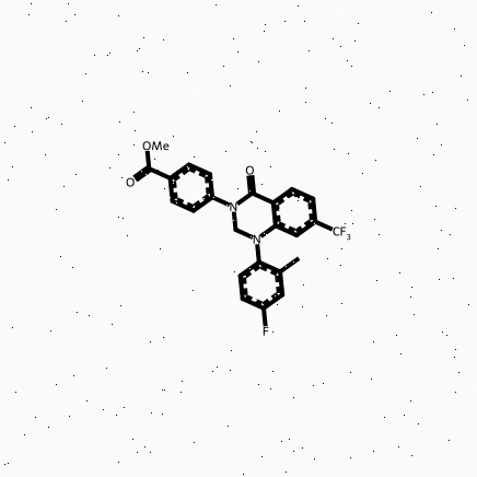 COC(=O)c1ccc(N2CN(c3ccc(F)cc3C)c3cc(C(F)(F)F)ccc3C2=O)cc1